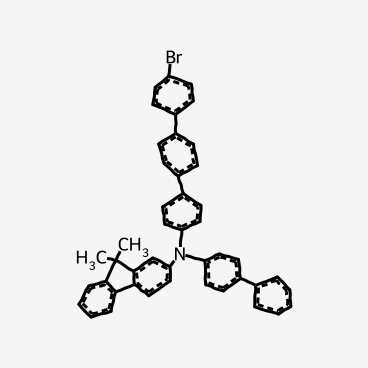 CC1(C)c2ccccc2-c2ccc(N(c3ccc(-c4ccccc4)cc3)c3ccc(-c4ccc(-c5ccc(Br)cc5)cc4)cc3)cc21